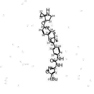 CC(C)(C)c1cc(NC(=O)Nc2ccc(-c3cn4c(n3)sc3nc(O[C@@H]5CCNC56CC6)ccc34)cc2)no1